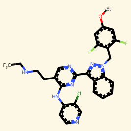 CCOc1cc(F)c(Cn2nc(-c3ncc(CCNCC(F)(F)F)c(Nc4ccncc4Cl)n3)c3ccccc32)c(F)c1